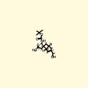 CC(C)(C)OC(=O)NC[C@@]1(CC(=O)O)C[C@@H]2CC(CO)=C[C@@H]21